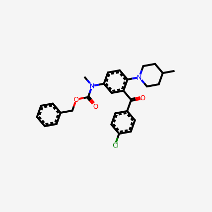 CC1CCN(c2ccc(N(C)C(=O)OCc3ccccc3)cc2C(=O)c2ccc(Cl)cc2)CC1